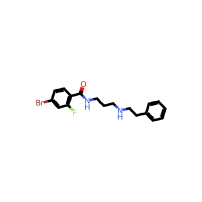 O=C(NCCCNCCc1ccccc1)c1ccc(Br)cc1F